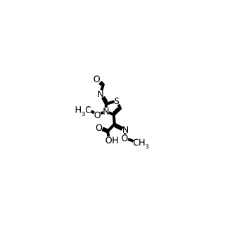 CON=C(C(=O)O)c1csc(=NC=O)n1OC